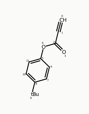 C#CC(=O)Oc1ccc(C(C)(C)C)cc1